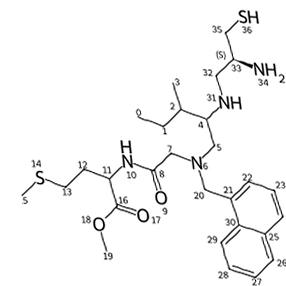 CCC(C)C(CN(CC(=O)NC(CCSC)C(=O)OC)Cc1cccc2ccccc12)NC[C@H](N)CS